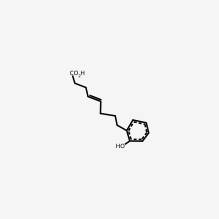 O=C(O)CCC=CCCCc1ccccc1O